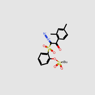 CCCCS(=O)(=O)Oc1ccccc1S(=O)(=O)C(=[N+]=[N-])C(=O)c1ccc(C)cc1C